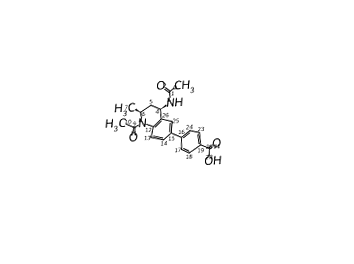 CC(=O)N[C@@H]1C[C@H](C)N(C(C)=O)c2ccc(-c3ccc(C(=O)O)cc3)cc21